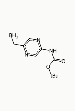 BCc1cnc(NC(=O)OC(C)(C)C)cn1